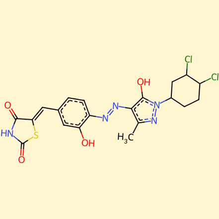 Cc1nn(C2CCC(Cl)C(Cl)C2)c(O)c1/N=N/c1ccc(/C=C2\SC(=O)NC2=O)cc1O